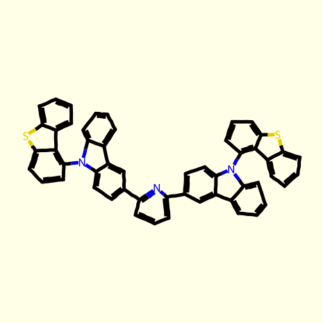 c1cc(-c2ccc3c(c2)c2ccccc2n3-c2cccc3sc4ccccc4c23)nc(-c2ccc3c(c2)c2ccccc2n3-c2cccc3sc4ccccc4c23)c1